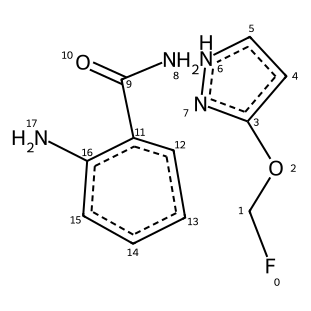 FCOc1cc[nH]n1.NC(=O)c1ccccc1N